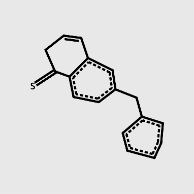 S=C1CC=Cc2cc(Cc3ccccc3)ccc21